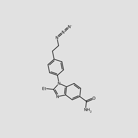 CCc1nc2cc(C(N)=O)ccc2n1-c1ccc(CCN=[N+]=[N-])cc1